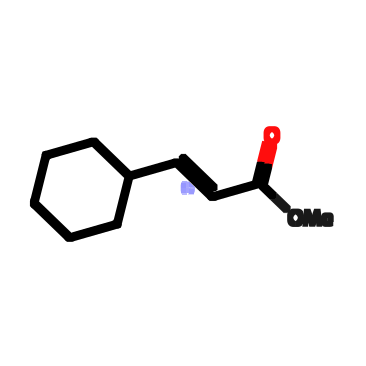 COC(=O)/C=C/C1CCCCC1